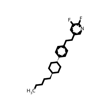 CCCCC[C@H]1CC[C@H](c2ccc(CCc3cnc(F)c(F)c3)cc2)CC1